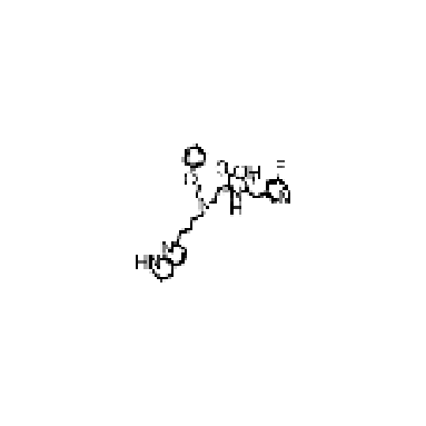 O=C(Cc1cncc(F)c1)N[C@@H](CCN(CCCCc1ccc2c(n1)NCCC2)CCOc1ccccc1)C(=O)O